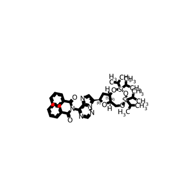 CC(C)[Si]1(C(C)C)OC[C@H]2O[C@@H](c3cnc4c(N(C(=O)c5ccccc5)C(=O)c5ccccc5)ncnn34)C[C@@H]2O[Si](C(C)C)(C(C)C)O1